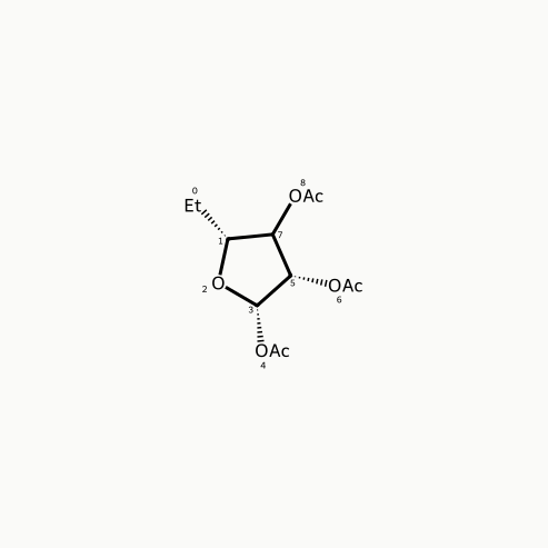 CC[C@H]1O[C@@H](OC(C)=O)[C@@H](OC(C)=O)C1OC(C)=O